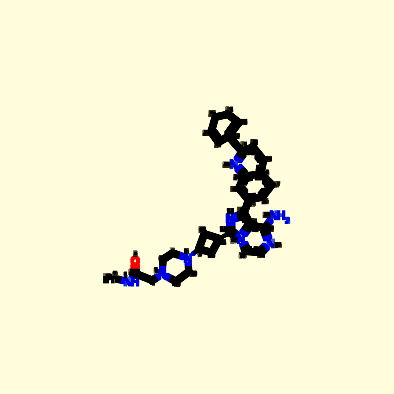 CC(C)NC(=O)CN1CCN([C@H]2C[C@@H](c3nc(-c4ccc5ccc(C6=CCCC=C6)nc5c4)c4c(N)nccn43)C2)CC1